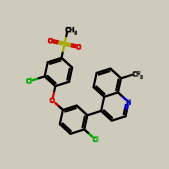 CS(=O)(=O)c1ccc(Oc2ccc(Cl)c(-c3ccnc4c(C(F)(F)F)cccc34)c2)c(Cl)c1